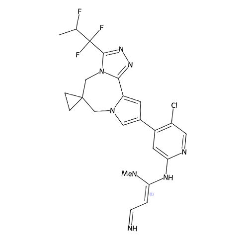 CN/C(=C\C=N)Nc1cc(-c2cc3n(c2)CC2(CC2)Cn2c-3nnc2C(F)(F)C(C)F)c(Cl)cn1